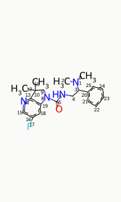 CN(C)C(CNC(=O)N1CC(C)(C)c2ncc(F)cc21)c1ccccc1